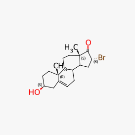 C[C@]12CC[C@H](O)CC1=CCC1C2CC[C@]2(C)C(=O)[C@H](Br)CC12